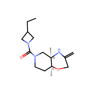 C=C1CO[C@@]2(C)CCN(C(=O)N3CC(CC)C3)C[C@@]2(C)N1